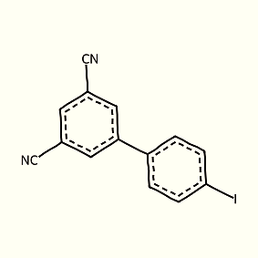 N#Cc1cc(C#N)cc(-c2ccc(I)cc2)c1